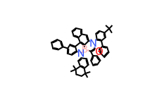 CC(C)(C)c1ccc(N2c3cc4ccccc4c4c3B(c3c2oc2ccccc32)N(c2ccc3c(c2)C(C)(C)CCC3(C)C)c2ccc(-c3ccccc3)cc2-4)c(-c2ccccc2)c1